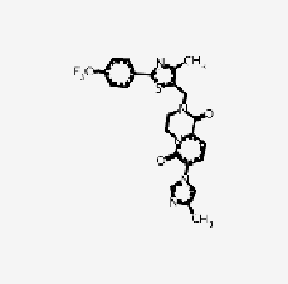 Cc1cn(-c2ccc3n(c2=O)CCN(Cc2sc(-c4ccc(C(F)(F)F)cc4)nc2C)C3=O)cn1